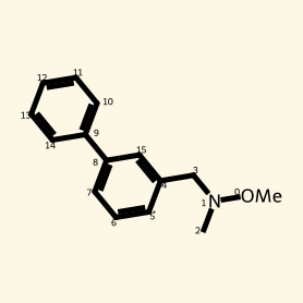 CON(C)Cc1[c]ccc(-c2ccccc2)c1